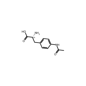 CC(=O)Nc1ccc(C[C@@H](N)C(=O)O)cc1